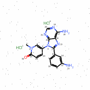 Cl.Cl.Cn1cc(-n2c(-c3cccc(N)c3)nc3c(N)ncnc32)ccc1=O